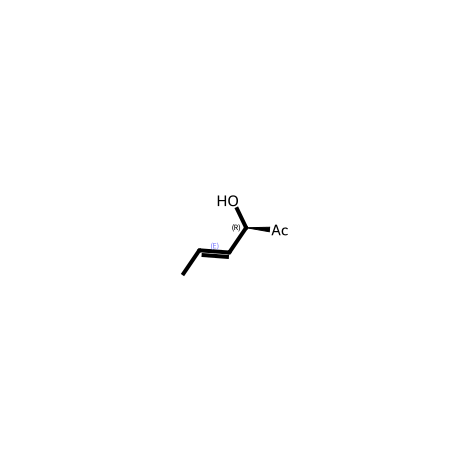 C/C=C/[C@@H](O)C(C)=O